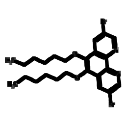 CCCCCCOc1c(OCCCCCC)c2cc(Br)cnc2c2ncc(Br)cc12